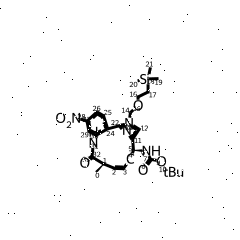 C[C@@H]1C=CC[C@H](NC(=O)OC(C)(C)C)c2cn(COCC[Si](C)(C)C)c(n2)-c2ccc([N+](=O)[O-])cc2NC1=O